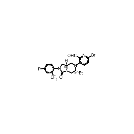 CC[C@@H]1CN2C(=O)N(c3ccc(F)cc3C(F)(F)F)C[C@@H]2CN1c1ccc(Br)nc1C=O